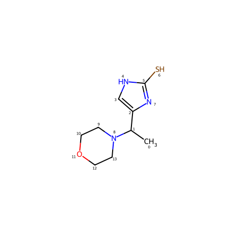 CC(c1c[nH]c(S)n1)N1CCOCC1